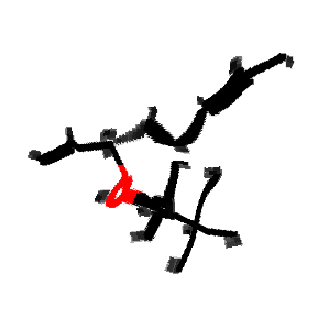 C=C[C@H](CCC#CC)O[Si](C)(C)C(C)(C)C